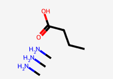 CCCC(=O)O.CN.CN.CN